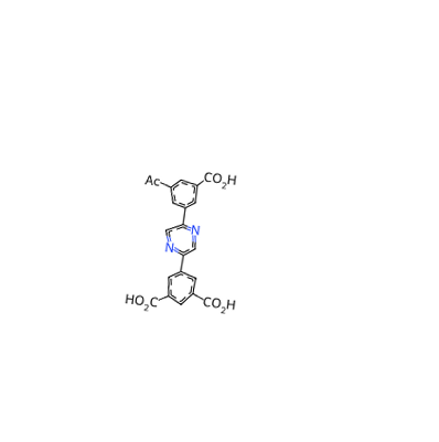 CC(=O)c1cc(C(=O)O)cc(-c2cnc(-c3cc(C(=O)O)cc(C(=O)O)c3)cn2)c1